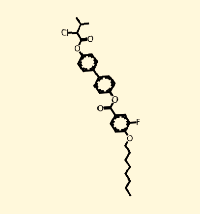 CCCCCCCCOc1ccc(C(=O)Oc2ccc(-c3ccc(OC(=O)C(Cl)C(C)C)cc3)cc2)cc1F